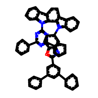 c1ccc(-c2cc(-c3ccccc3)cc(-c3nc4cc(-n5c6ccccc6c6ccc7c8ccccc8n(-c8nc(-c9ccccc9)nc(-c9ccccc9)n8)c7c65)ccc4o3)c2)cc1